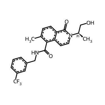 Cc1ccc2c(=O)n([C@H](C)CO)ccc2c1C(=O)NCc1cccc(C(F)(F)F)c1